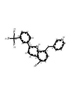 Fc1ccc(Cc2cccnc2)c2nc(-c3cccc(C(F)(F)F)c3)ccc12